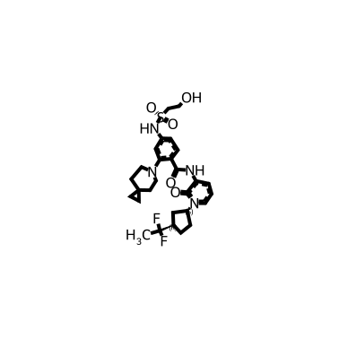 CC(F)(F)[C@@H]1CC[C@H](n2cccc(NC(=O)c3ccc(NS(=O)(=O)CCO)cc3N3CCC4(CC3)CC4)c2=O)C1